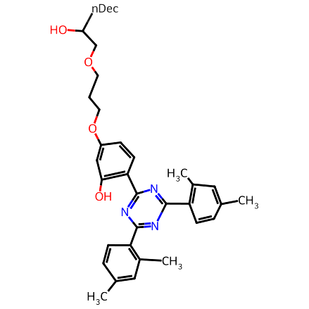 CCCCCCCCCCC(O)COCCCOc1ccc(-c2nc(-c3ccc(C)cc3C)nc(-c3ccc(C)cc3C)n2)c(O)c1